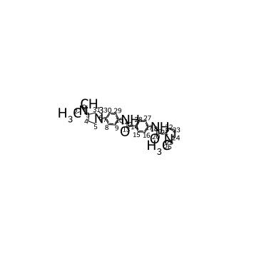 CN(C)C1CCN(c2ccc(NC(=O)c3ccc(NC(=O)c4cccn4C)cc3)cc2)C1